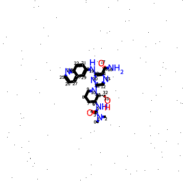 CN(C)C(=O)N[C@H]1CCCN(c2cnc(C(N)=O)c(Nc3ccc4ncccc4c3)n2)[C@@H]1CO